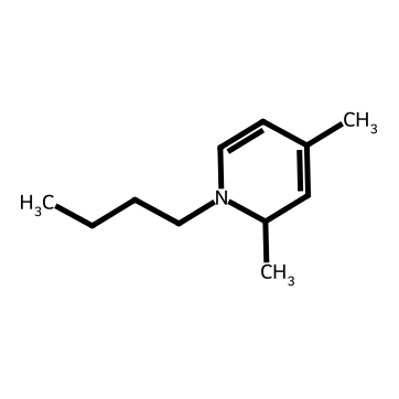 CCCCN1C=CC(C)=CC1C